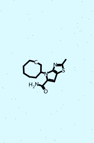 Cc1nc2c(cc(C(N)=O)n2C2CCCCCCC2)s1